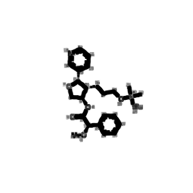 CO[C@@H](C(=O)O[C@H]1CO[C@H](c2cccnc2)[C@@H]1CCCO[Si](C)(C)C(C)(C)C)c1ccccc1